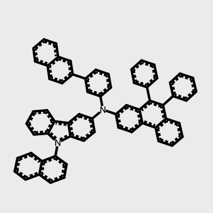 c1ccc(-c2c(-c3ccccc3)c3cc(N(c4cccc(-c5ccc6ccccc6c5)c4)c4ccc5c(c4)c4ccccc4n5-c4cccc5ccccc45)ccc3c3ccccc23)cc1